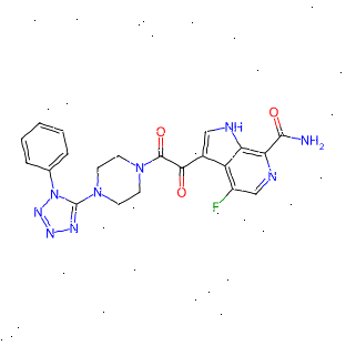 NC(=O)c1ncc(F)c2c(C(=O)C(=O)N3CCN(c4nnnn4-c4ccccc4)CC3)c[nH]c12